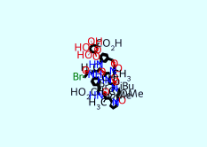 CC[C@@H](C)[C@@H]([C@@H](CC(=O)N1CCC[C@H]1[C@H](OC)[C@@H](C)C(=O)N[C@@H](Cc1ccccc1)C(=O)O)OC)N(C)C(=O)[C@@H](NC(=O)[C@@H]1C(C)OC(C)(CCNC(=O)CBr)Nc2cc(ccc2O[C@@H]2O[C@H](C(=O)O)[C@@H](O)[C@H](O)[C@H]2O)COC(=O)N1C)C(C)C